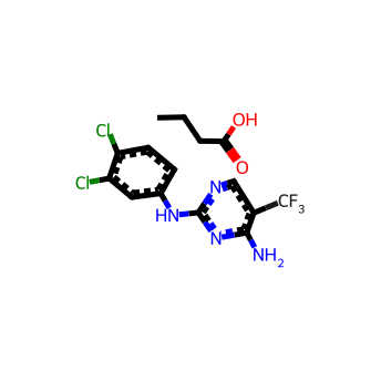 CCCC(=O)O.Nc1nc(Nc2ccc(Cl)c(Cl)c2)ncc1C(F)(F)F